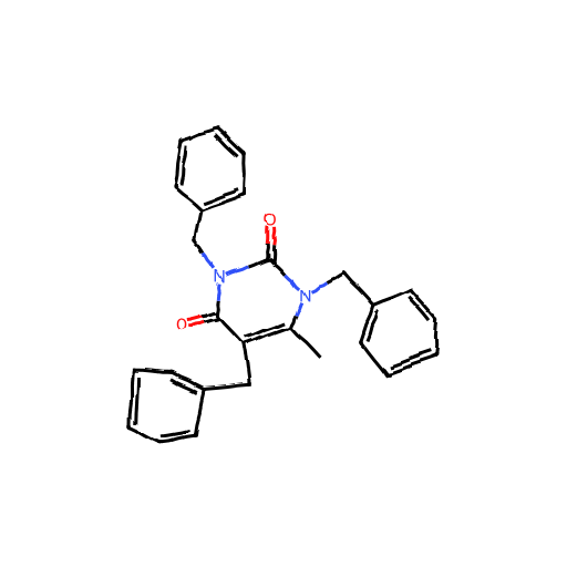 Cc1c(Cc2ccccc2)c(=O)n(Cc2ccccc2)c(=O)n1Cc1ccccc1